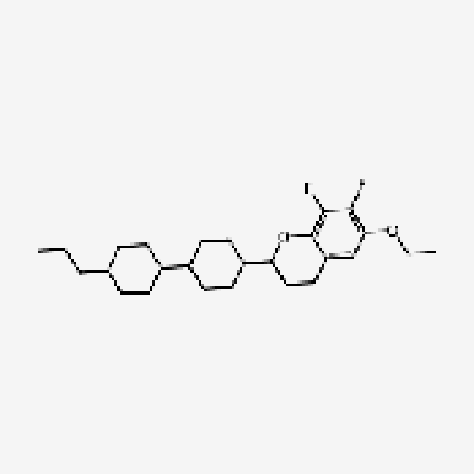 CCCC1CCC(C2CCC(C3CCc4cc(OCC)c(F)c(F)c4O3)CC2)CC1